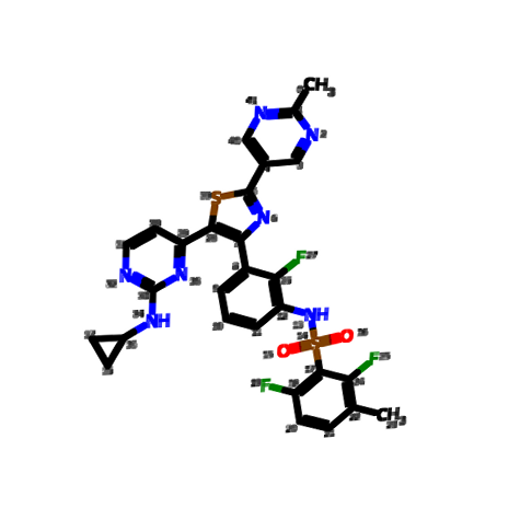 Cc1ncc(-c2nc(-c3cccc(NS(=O)(=O)c4c(F)ccc(C)c4F)c3F)c(-c3ccnc(NC4CC4)n3)s2)cn1